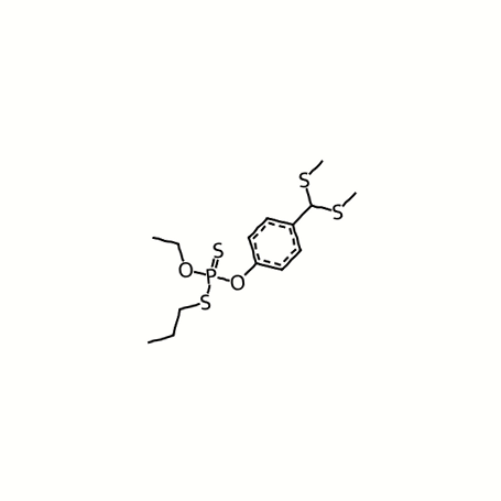 CCCSP(=S)(OCC)Oc1ccc(C(SC)SC)cc1